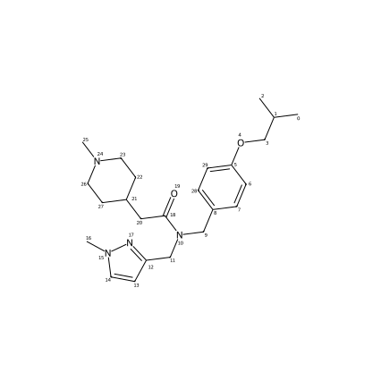 CC(C)COc1ccc(CN(Cc2ccn(C)n2)C(=O)CC2CCN(C)CC2)cc1